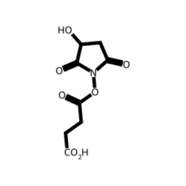 O=C(O)CCC(=O)ON1C(=O)CC(O)C1=O